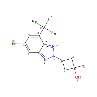 CC1(O)CC(n2nc3cc(Br)cc(C(F)(F)F)c3n2)C1